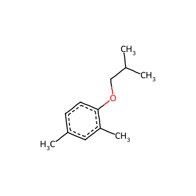 Cc1ccc(OCC(C)C)c(C)c1